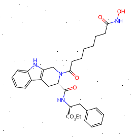 CCOC(=O)[C@H](Cc1ccccc1)NC(=O)[C@@H]1Cc2c([nH]c3ccccc23)CN1C(=O)CCCCCCC(=O)NO